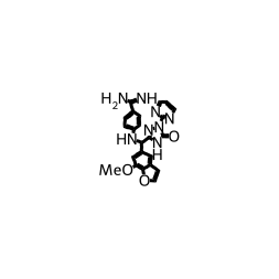 COc1cc(C(Nc2ccc(C(=N)N)cc2)c2nn(-c3ncccn3)c(=O)[nH]2)cc2ccoc12